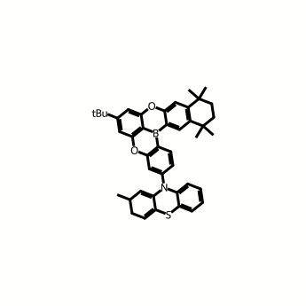 CC1C=C2C(=CC1)Sc1ccccc1N2c1ccc2c(c1)Oc1cc(C(C)(C)C)cc3c1B2c1cc2c(cc1O3)C(C)(C)CCC2(C)C